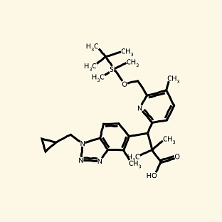 Cc1ccc(C(c2ccc3c(nnn3CC3CC3)c2C)C(C)(C)C(=O)O)nc1CO[Si](C)(C)C(C)(C)C